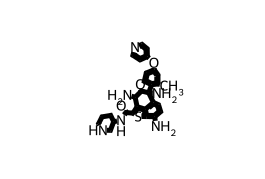 Cc1cc(Oc2ccncc2)ccc1C1(N)C(=O)C(N)c2c(C(=O)NC3CCCNC3)sc3c(N)ccc1c23